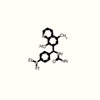 CCCC(=O)NC(c1ccc(N(CC)CC)cc1)c1cc(C)c2cccnc2c1O